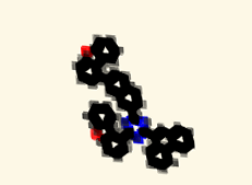 c1ccc2c(c1)cc(-c1nc(-c3ccc4ccc(-c5cccc6oc7ccccc7c56)cc4c3)nc(-c3cccc4oc5ccccc5c34)n1)c1ccccc12